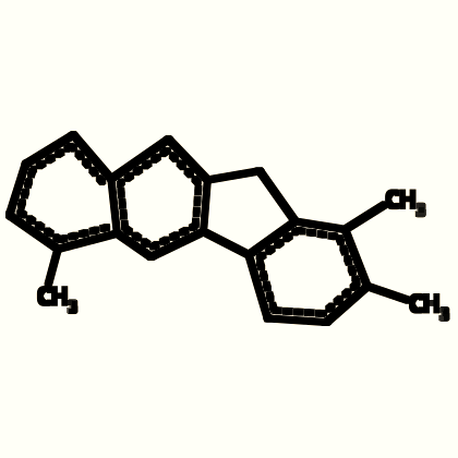 Cc1ccc2c(c1C)Cc1cc3cccc(C)c3cc1-2